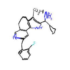 NC(c1[nH]c2c(c1C(=O)O)CCc1cnc(-c3ccccc3F)cc1-2)C1CC1